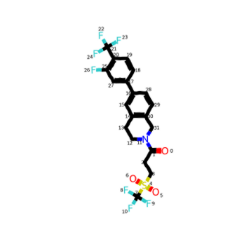 O=C(CCS(=O)(=O)C(F)(F)F)N1CCc2cc(-c3ccc(C(F)(F)F)c(F)c3)ccc2C1